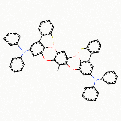 CC(C)c1c2c(cc3c1Oc1cc(N(c4ccccc4)c4ccccc4)cc4c1B3Sc1ccccc1-4)B1Sc3ccccc3-c3cc(N(c4ccccc4)c4ccccc4)cc(c31)O2